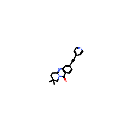 CC1(C)CCc2nc3cc(C#Cc4ccncc4)ccc3c(=O)n2C1